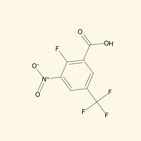 O=C(O)c1cc(C(F)(F)F)cc([N+](=O)[O-])c1F